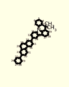 CC1(C)c2ccccc2-n2c3ccc(-c4ccc5c(ccc6cc(-c7ccccc7)ccc65)c4)cc3c3cccc1c32